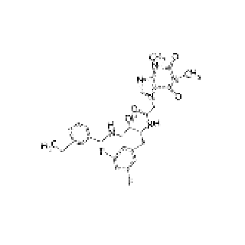 CCc1cccc(CNC[C@@H](O)[C@H](Cc2cc(F)cc(F)c2)NC(=O)Cn2cnc3c2c(=O)n(C)c(=O)n3C)c1